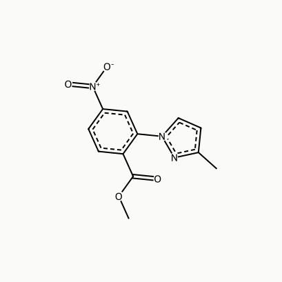 COC(=O)c1ccc([N+](=O)[O-])cc1-n1ccc(C)n1